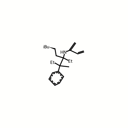 C=CC(=C)NC(CC)(CC[C@H](C)CC)C(C)(CC)c1ccccc1